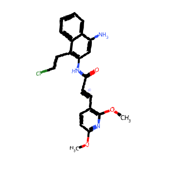 COc1ccc(/C=C/C(=O)Nc2cc(N)c3ccccc3c2CCCl)c(OC)n1